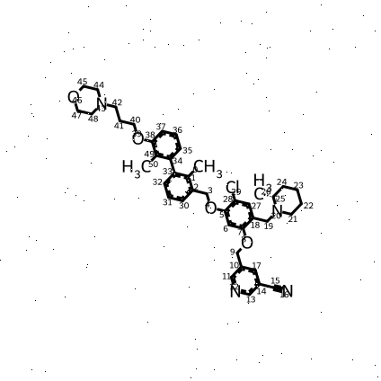 Cc1c(COc2cc(OCc3cncc(C#N)c3)c(CN3CCCC[C@H]3C)cc2Cl)cccc1-c1cccc(OCCCN2CCOCC2)c1C